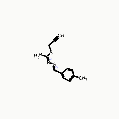 C#CCS/C(N)=N\N=C\c1ccc(C)cc1